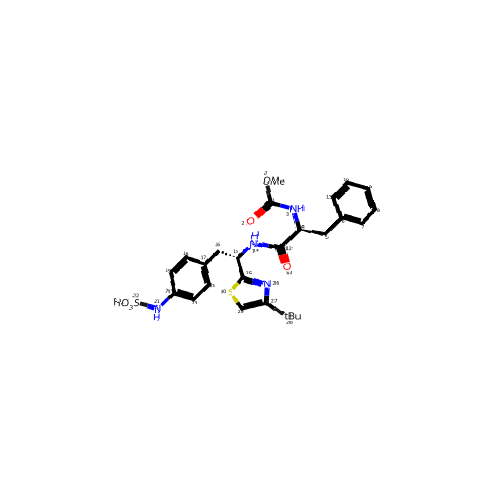 COC(=O)N[C@@H](Cc1ccccc1)C(=O)N[C@@H](Cc1ccc(NS(=O)(=O)O)cc1)c1nc(C(C)(C)C)cs1